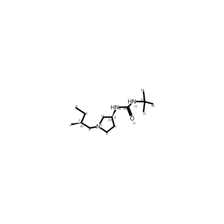 CC[C@H](C)CN1CC[C@H](NC(=O)NC(C)(C)C)C1